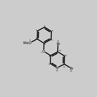 COc1ccccc1Oc1cnc(Br)cc1Br